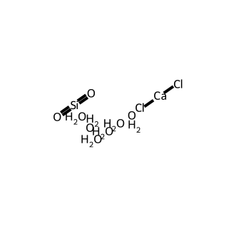 O.O.O.O.O.O.O=[Si]=O.[Cl][Ca][Cl]